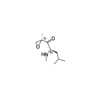 CN[C@H](CC(C)C)C(=O)[C@]1(C)CO1